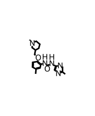 Cc1ccc(OCC2CCCN(C)C2)c(NC(=O)Nc2cnc(C)cn2)c1